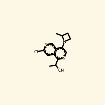 CC(C#N)c1ncc(N2CCC2C)c2cnc(Cl)cc12